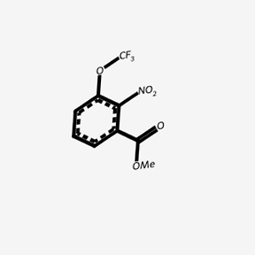 COC(=O)c1cccc(OC(F)(F)F)c1[N+](=O)[O-]